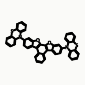 c1ccc2c(c1)Sc1ccccc1N2c1ccc2c(c1)oc1c3oc4cc(N5c6ccccc6Sc6ccccc65)ccc4c3c3ccccc3c21